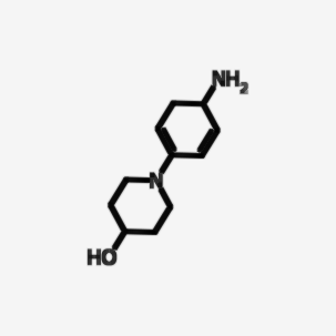 NC1C=CC(N2CCC(O)CC2)=CC1